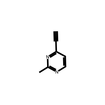 C#Cc1ccnc(C)n1